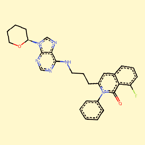 O=c1c2c(F)cccc2cc(CCCNc2ncnc3c2ncn3[C@@H]2CCCCO2)n1-c1ccccc1